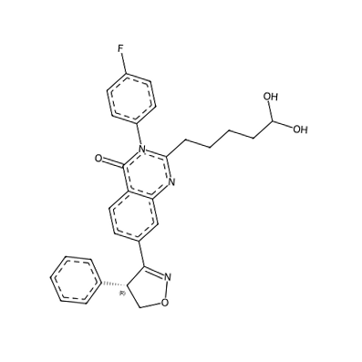 O=c1c2ccc(C3=NOC[C@@H]3c3ccccc3)cc2nc(CCCCC(O)O)n1-c1ccc(F)cc1